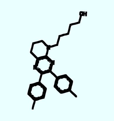 Cc1ccc(-c2nc3c(nc2-c2ccc(C)cc2)N(CCCCCO)CCC3)cc1